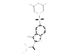 CCCCN(C)C(=O)c1[nH]c2ccc(S(=O)(=O)N3CC(C)CC(C)C3)cc2c1C